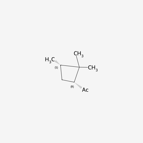 CC(=O)[C@@H]1C[C@H](C)C1(C)C